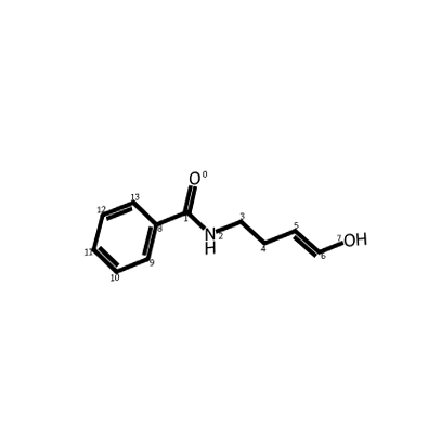 O=C(NCCC=CO)c1ccccc1